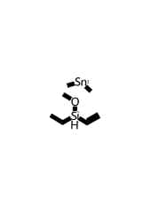 C=C[SiH](CC)OC.[CH3][Sn][CH3]